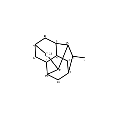 CC1C2CC3C4CC5CC3C1C(C5)C4C2